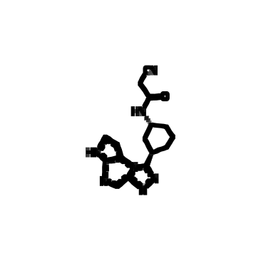 N#CCC(=O)N[C@@H]1CCC[C@@H](c2nnc3cnc4[nH]ccc4n23)C1